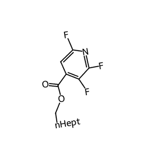 CCCCCCCCOC(=O)c1cc(F)nc(F)c1F